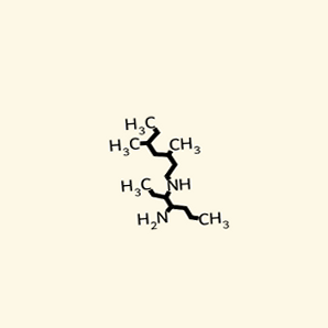 CCCC(N)C(CC)NCCC(C)CC(C)CC